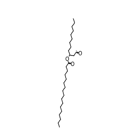 CCCCCCCCCCCCCCCCC(=O)OC(C[C]=O)CCCCCCCCC